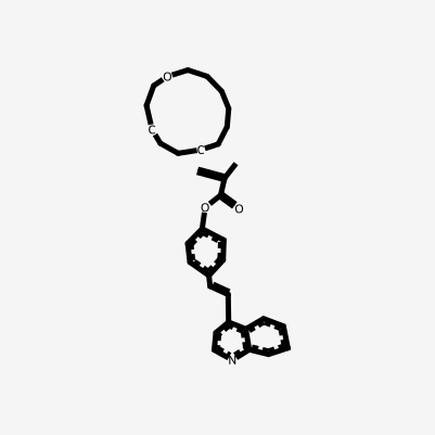 C1CCCCCCOCCCCC1.C=C(C)C(=O)Oc1ccc(C=Cc2ccnc3ccccc23)cc1